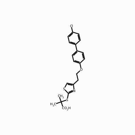 CC(C)(Sc1nc(CCOc2ccc(-c3ccc(Cl)cc3)cc2)cs1)C(=O)O